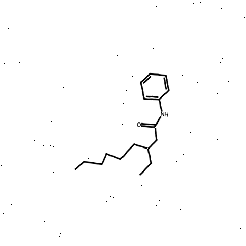 CCCCCCC(CC)CC(=O)Nc1ccccc1